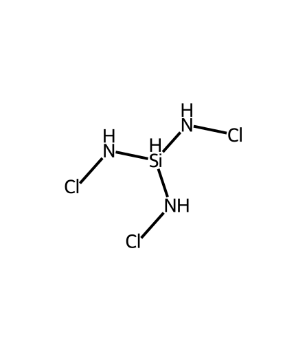 ClN[SiH](NCl)NCl